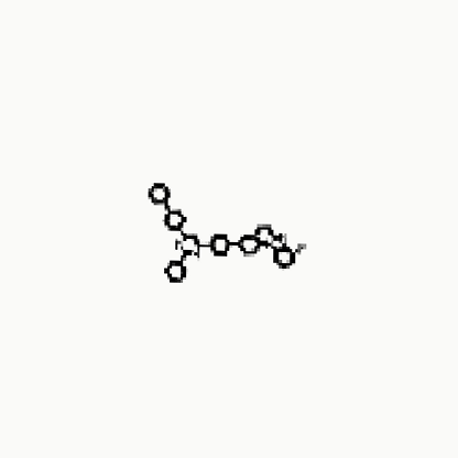 Fc1cccc2c1nc1ccc3cc(-c4ccc(-c5cc(-c6ccc(-c7ccccc7)cc6)nc(-c6ccccc6)n5)cc4)ccc3n12